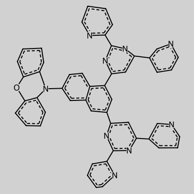 c1ccc(-c2nc(-c3cccnc3)cc(-c3cc(-c4cc(-c5cccnc5)nc(-c5ccccn5)n4)c4ccc(N5c6ccccc6Oc6ccccc65)cc4c3)n2)nc1